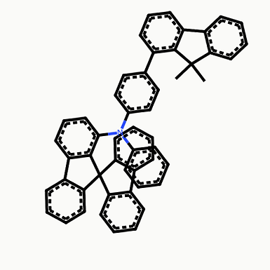 CC1(C)c2ccccc2-c2cccc(-c3ccc(N(c4ccccc4)c4cccc5c4C4(c6ccccc6-c6ccccc64)c4ccccc4-5)cc3)c21